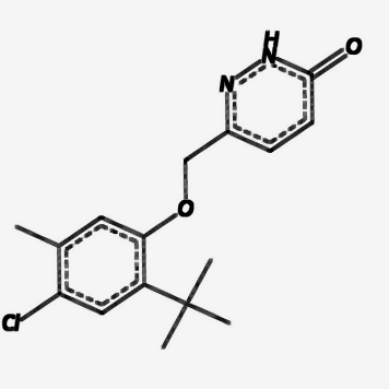 Cc1cc(OCc2ccc(=O)[nH]n2)c(C(C)(C)C)cc1Cl